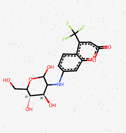 O=c1cc(C(F)(F)F)c2ccc(NC3C(O)OC(CO)[C@@H](O)[C@@H]3O)cc2o1